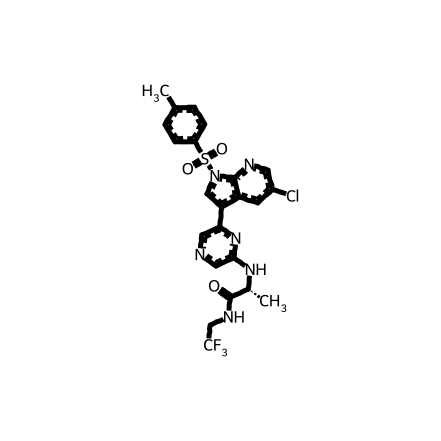 Cc1ccc(S(=O)(=O)n2cc(-c3cncc(N[C@H](C)C(=O)NCC(F)(F)F)n3)c3cc(Cl)cnc32)cc1